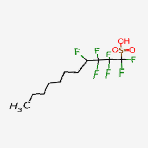 CCCCCCCC(F)C(F)(F)C(F)(F)C(F)(F)S(=O)(=O)O